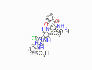 Nc1c(S(=O)(=O)O)cc(Nc2ccc(Nc3nc(Cl)nc(Nc4ccccc4S(=O)(=O)O)n3)cc2S(=O)(=O)O)c2c1C(=O)c1ccccc1C2=O